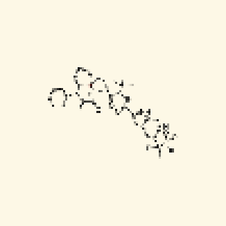 CN(C(=O)[C@@H]1CCCN1C(=O)C(NC(=O)c1cc2cc(C(F)(F)P(=O)(O)O)ccc2[nH]1)C(C)(C)C)C(c1ccccc1)c1ccccc1